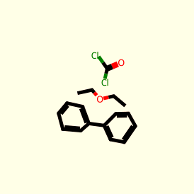 CCOCC.O=C(Cl)Cl.c1ccc(-c2ccccc2)cc1